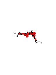 CCCCCCC[C@H]1CC[C@H](C2([C@@]3(F)C=C[C@@H](COC[C@@H]4C=C[C@](F)(C5([C@H]6CC[C@H](CCCCCCC)CC6)CCCCC5)C=C4F)C(F)=C3)CCCCC2)CC1